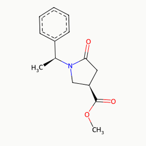 COC(=O)[C@@H]1CC(=O)N([C@@H](C)c2ccccc2)C1